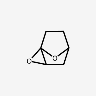 C1CC23OC1CC2O3